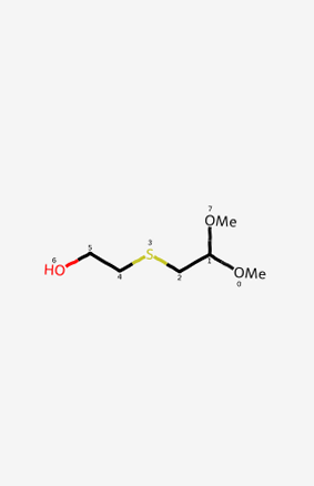 COC(CSCCO)OC